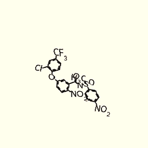 CS(=O)(=NC(=O)c1cc(Oc2ccc(C(F)(F)F)cc2Cl)ccc1[N+](=O)[O-])c1ccc([N+](=O)[O-])cc1